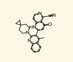 Cc1c(-c2cc(=O)c3c(C#N)nccc3[nH]2)c(N2CCC3(CC2)CC3)nc2ccccc12